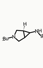 CC(C)NC1C2CN(C(C)(C)C)C[C@H]21